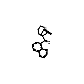 C=C1C(C(=O)c2cccc3ccccc23)C2CCN1CC2